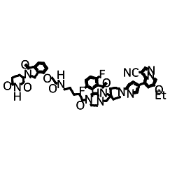 CCOc1cc(-c2ccc(N3CCC(CN4CCN(C(=O)CCCCNC(=O)COc5cccc6c5CN(C5CCC(=O)NC5=O)C6=O)CC4)(NC(=O)c4cc(F)ccc4F)CC3)nc2)c2c(C#N)cnn2c1